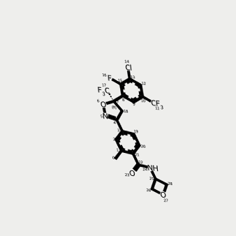 Cc1cc(C2=NO[C@](c3cc(C(F)(F)F)cc(Cl)c3F)(C(F)(F)F)C2)ccc1C(=O)NC1COC1